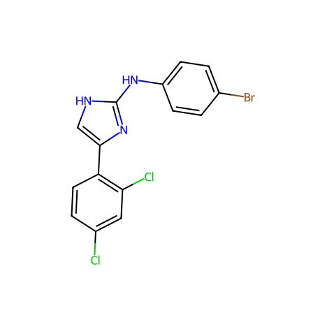 Clc1ccc(-c2c[nH]c(Nc3ccc(Br)cc3)n2)c(Cl)c1